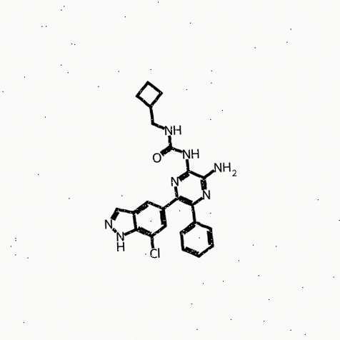 Nc1nc(-c2ccccc2)c(-c2cc(Cl)c3[nH]ncc3c2)nc1NC(=O)NCC1CCC1